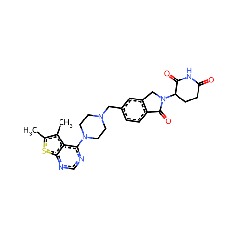 Cc1sc2ncnc(N3CCN(Cc4ccc5c(c4)CN(C4CCC(=O)NC4=O)C5=O)CC3)c2c1C